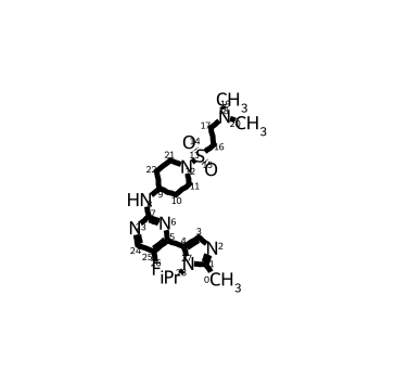 Cc1ncc(-c2nc(NC3CCN(S(=O)(=O)CCN(C)C)CC3)ncc2F)n1C(C)C